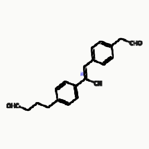 N#C/C(=C\c1ccc(CC=O)cc1)c1ccc(CCCC=O)cc1